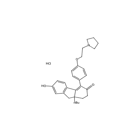 CCCCC12CCC(=O)C(c3ccc(OCCN4CCCC4)cc3)=C1c1ccc(O)cc1C2.Cl